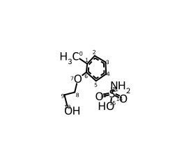 Cc1ccccc1OCCO.NS(=O)(=O)O